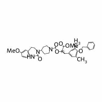 COC(=O)[C@@H](Cc1cc(C)c(OCc2ccccc2)c(C)c1)OC(=O)N1CCC(N2CCc3cc(OC)ccc3NC2=O)CC1